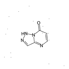 O=c1[c]cnc2cn[nH]n12